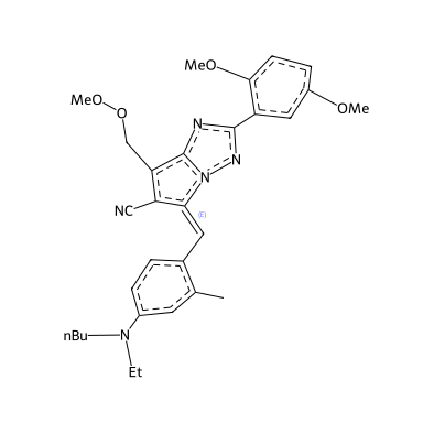 CCCCN(CC)c1ccc(/C=c2\c(C#N)c(COOC)c3nc(-c4cc(OC)ccc4OC)nn23)c(C)c1